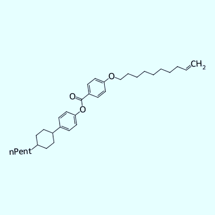 C=CCCCCCCCCOc1ccc(C(=O)Oc2ccc(C3CCC(CCCCC)CC3)cc2)cc1